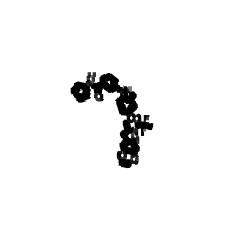 CC(F)(F)C(=O)NC(COc1ccc2c(cnn2-c2cccc(C(=O)NC3CCCC3)c2)c1)Cc1ccc2c(c1)OCCO2